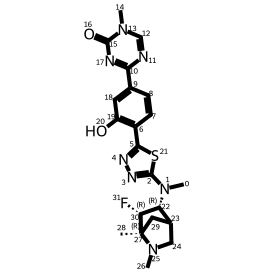 CN(c1nnc(-c2ccc(-c3ncn(C)c(=O)n3)cc2O)s1)[C@@H]1C2CN(C)[C@](C)(C2)[C@@H]1F